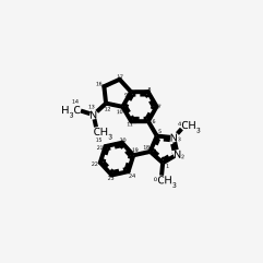 Cc1nn(C)c(-c2ccc3c(c2)C(N(C)C)CC3)c1-c1ccccc1